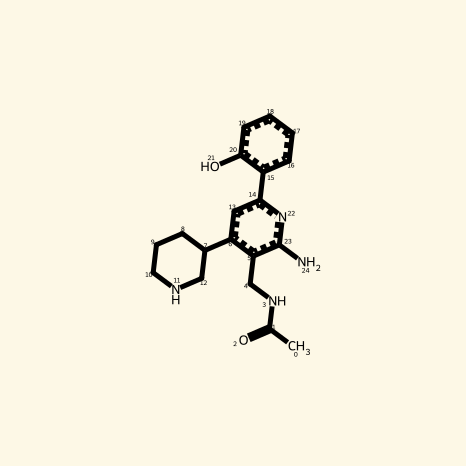 CC(=O)NCc1c(C2CCCNC2)cc(-c2ccccc2O)nc1N